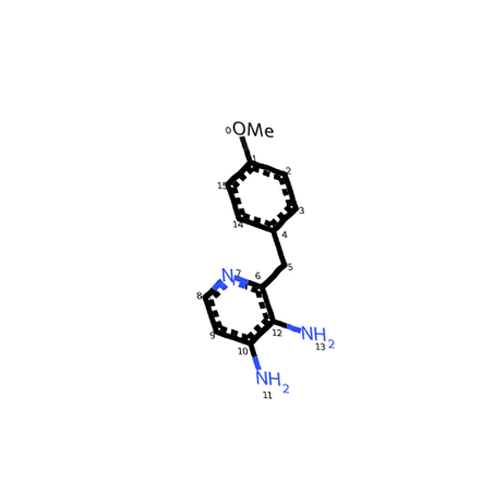 COc1ccc(Cc2nccc(N)c2N)cc1